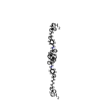 C=CC(=O)OCCCCCCOc1ccc(/C=C/C(=O)O[C@H]2CO[C@@H]3C(OC(=O)/C=C/c4ccc(OCCCOC(=O)C=C)cc4)CO[C@H]23)cc1